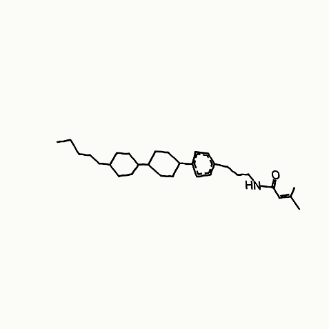 CCCCCC1CCC(C2CCC(c3ccc(CCCNC(=O)C=C(C)C)cc3)CC2)CC1